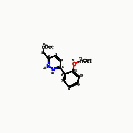 CCCCCCCCCCCc1ccc(-c2ccccc2OCCCCCCCC)nn1